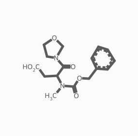 CN(C(=O)OCc1ccccc1)C(CC(=O)O)C(=O)N1CCOC1